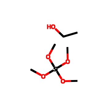 CCO.CO[Si](OC)(OC)OC